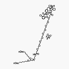 CCCCCCCCCCCCCCCCOCC(C[N+](C)(C)CCCNC(=O)CCOCCOCCOCCOCCOCCOCCOCCOCCOCCC(=O)NCCC1(C(=O)N[C@@H](Cc2ccc(NC(=O)c3c(Cl)cccc3Cl)cc2)C(=O)O)CCCC1)OCCCCCCCCCCCCCCCC.O=C([O-])C(F)(F)F